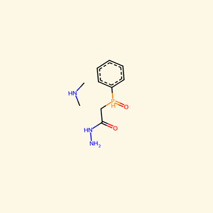 CNC.NNC(=O)C[PH](=O)c1ccccc1